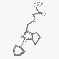 COC(=O)CSCc1nn(-c2ccccc2)c2c1CCC2